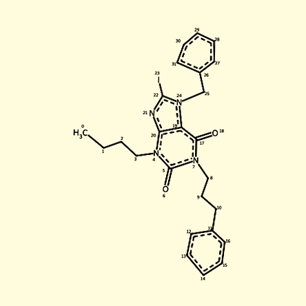 CCCCn1c(=O)n(CCCc2ccccc2)c(=O)c2c1nc(I)n2Cc1ccccc1